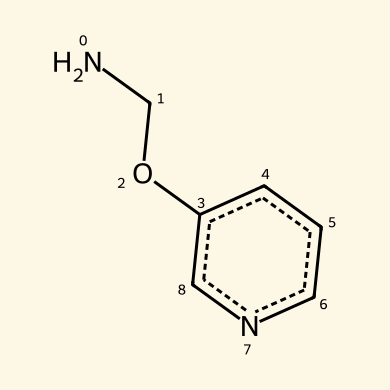 NCOc1cccnc1